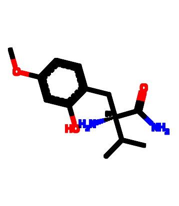 COc1ccc(C[C@@](N)(C(N)=O)C(C)C)c(O)c1